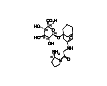 N[C@@H]1CCCN1C(=O)CNC12CC3(CCCC(O[C@@H]4O[C@H](C(=O)O)[C@@H](O)[C@H](O)[C@H]4O)(C3)C1)C2